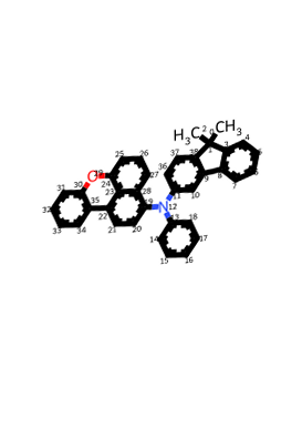 CC1(C)c2ccccc2-c2cc(N(c3ccccc3)c3ccc4c5c(cccc35)Oc3ccccc3-4)ccc21